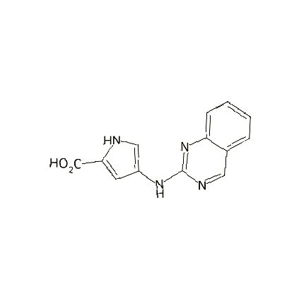 O=C(O)c1cc(Nc2ncc3ccccc3n2)c[nH]1